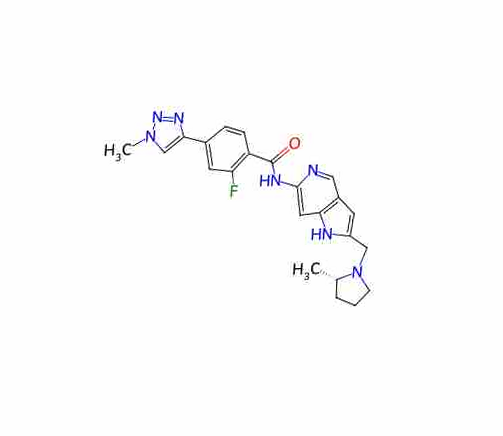 C[C@H]1CCCN1Cc1cc2cnc(NC(=O)c3ccc(-c4cn(C)nn4)cc3F)cc2[nH]1